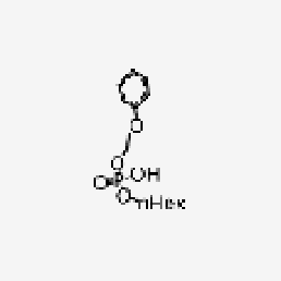 CCCCCCOP(=O)(O)OCCOc1ccccc1